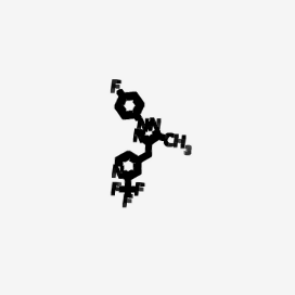 Cc1nn(-c2ccc(F)cc2)nc1Cc1ccnc(C(F)(F)F)c1